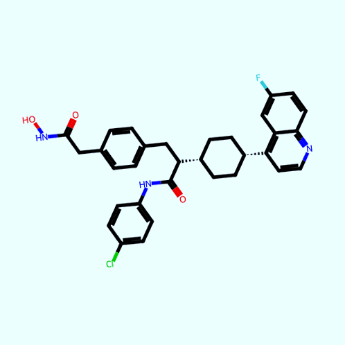 O=C(Cc1ccc(CC(C(=O)Nc2ccc(Cl)cc2)[C@H]2CC[C@@H](c3ccnc4ccc(F)cc43)CC2)cc1)NO